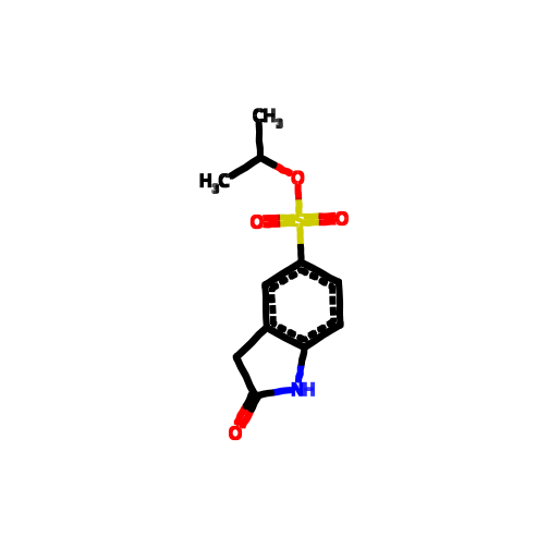 CC(C)OS(=O)(=O)c1ccc2c(c1)CC(=O)N2